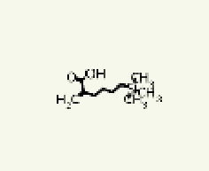 C=C(CCCC[Si](C)(C)C)C(=O)O